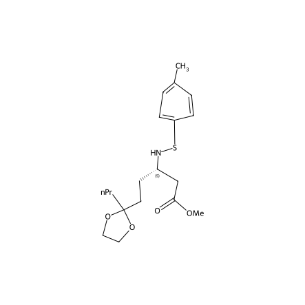 CCCC1(CC[C@@H](CC(=O)OC)NSc2ccc(C)cc2)OCCO1